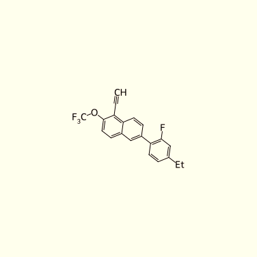 C#Cc1c(OC(F)(F)F)ccc2cc(-c3ccc(CC)cc3F)ccc12